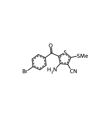 CSc1sc(C(=O)c2ccc(Br)cc2)c(N)c1C#N